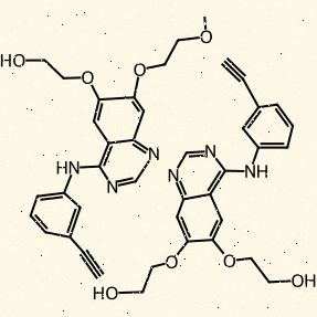 C#Cc1cccc(Nc2ncnc3cc(OCCO)c(OCCO)cc23)c1.C#Cc1cccc(Nc2ncnc3cc(OCCOC)c(OCCO)cc23)c1